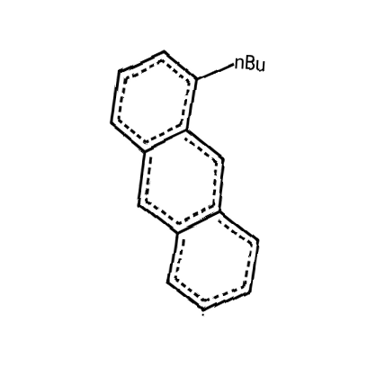 CCCCc1cccc2cc3c[c]ccc3cc12